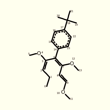 CC\C=C(OC)/C(=C(\C=C\OC)OC)c1ccc(C(C)(C)C)cc1